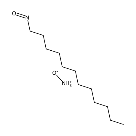 CCCCCCCCCCCCN=O.[NH3+][O-]